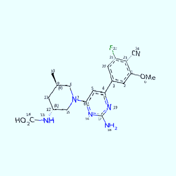 COc1cc(-c2cc(N3C[C@H](C)C[C@@H](NC(=O)O)C3)nc(N)n2)cc(F)c1C#N